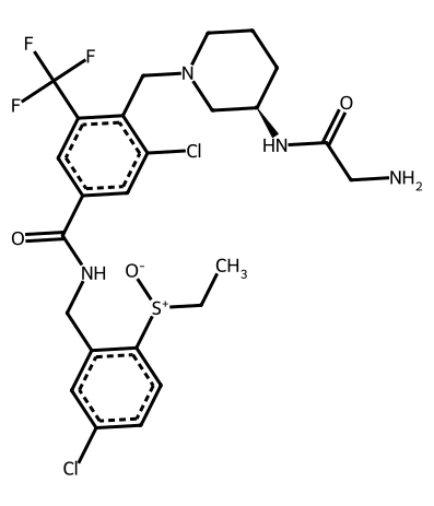 CC[S+]([O-])c1ccc(Cl)cc1CNC(=O)c1cc(Cl)c(CN2CCC[C@@H](NC(=O)CN)C2)c(C(F)(F)F)c1